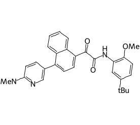 CNc1ccc(-c2ccc(C(=O)C(=O)Nc3cc(C(C)(C)C)ccc3OC)c3ccccc23)cn1